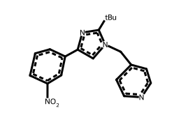 CC(C)(C)c1nc(-c2cccc([N+](=O)[O-])c2)cn1Cc1ccncc1